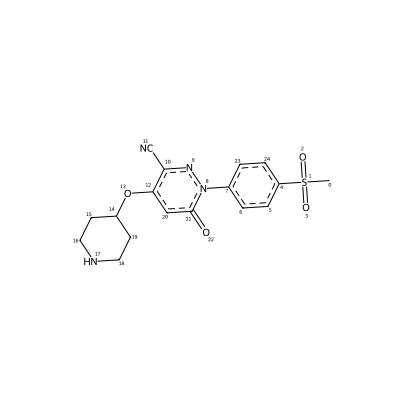 CS(=O)(=O)c1ccc(-n2nc(C#N)c(OC3CCNCC3)cc2=O)cc1